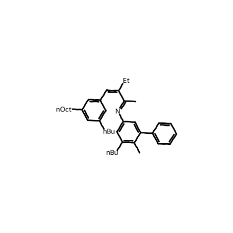 CCCCCCCCc1cc(C=C(CC)C(C)=Nc2cc(CCCC)c(C)c(-c3ccccc3)c2)cc(CCCC)c1